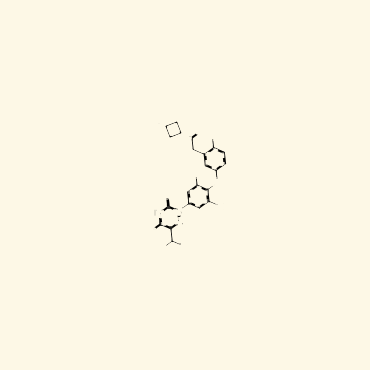 O=c1[nH]c(=O)n(-c2cc(Cl)c(Oc3ccc(O)c(CC(=O)[C@H]4C[C@@H](O)C4)c3)c(Cl)c2)nc1C(F)F